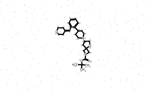 CC(C)(C)OC(=O)N1CC2(C[C@H](N3CCC(c4ccccc4C=C4CCOCC4)CC3)CO2)C1